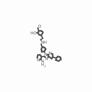 Nc1ncccc1-c1nc2cc(-c3ccccc3)cnc2n1-c1ccc(CNCCc2ccc(C=O)c(O)c2)cc1